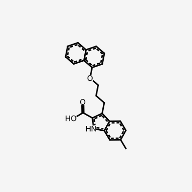 Cc1ccc2c(CCCOc3cccc4ccccc34)c(C(=O)O)[nH]c2c1